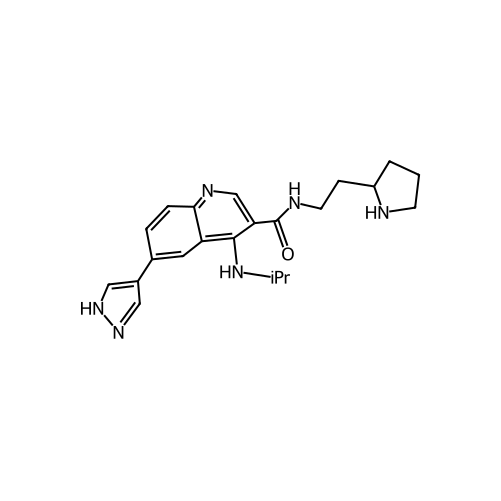 CC(C)Nc1c(C(=O)NCCC2CCCN2)cnc2ccc(-c3cn[nH]c3)cc12